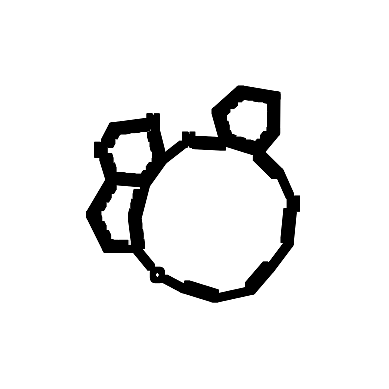 C1=C\C=N/C=c2/cccc/c2=N/c2ncnc3ccc(cc23)O\C=C/1